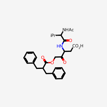 CC(=O)NC(C(=O)NC(CC(=O)O)C(=O)COC(=O)C(Cc1ccccc1)Cc1ccccc1)C(C)C